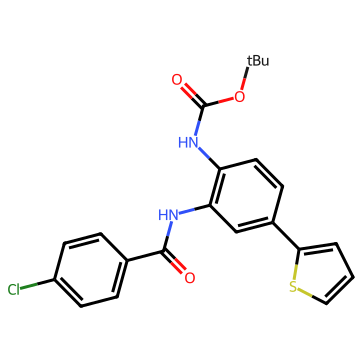 CC(C)(C)OC(=O)Nc1ccc(-c2cccs2)cc1NC(=O)c1ccc(Cl)cc1